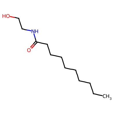 CCCCCCCCCC(=O)NCCO